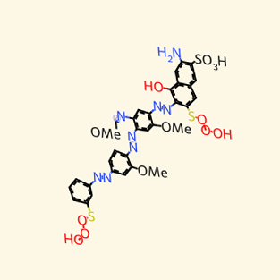 CO/C=N\c1cc(N=Nc2c(SOOO)cc3cc(S(=O)(=O)O)c(N)cc3c2O)c(OC)cc1N=Nc1ccc(N=Nc2cccc(SOOO)c2)cc1OC